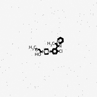 COCC(O)N1CCN(c2ccc(Cl)c(-c3nc4ccccn4c3C)c2)CC1